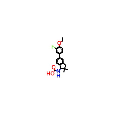 CCOc1ccc(-c2ccc3c(c2)CC(C)(C)C3NC(=O)O)cc1F